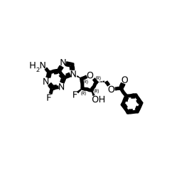 Nc1nc(F)nc2c1ncn2[C@@H]1O[C@H](COC(=O)c2ccccc2)[C@@H](O)[C@H]1F